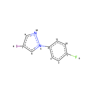 Fc1ccc(-n2cc(I)cn2)cc1